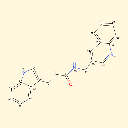 O=C(CCc1c[nH]c2ccccc12)NCc1cnc2ccccc2c1